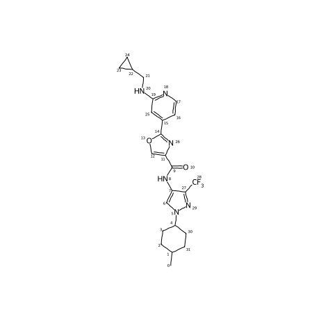 CC1CCC(n2cc(NC(=O)c3coc(-c4ccnc(NCC5CC5)c4)n3)c(C(F)(F)F)n2)CC1